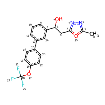 Cc1nnc(CC(O)c2cccc(-c3ccc(OC(F)(F)F)cc3)c2)o1